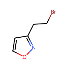 BrCCc1ccon1